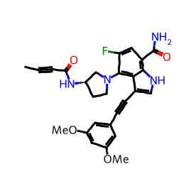 CC#CC(=O)N[C@@H]1CCN(c2c(F)cc(C(N)=O)c3[nH]cc(C#Cc4cc(OC)cc(OC)c4)c23)C1